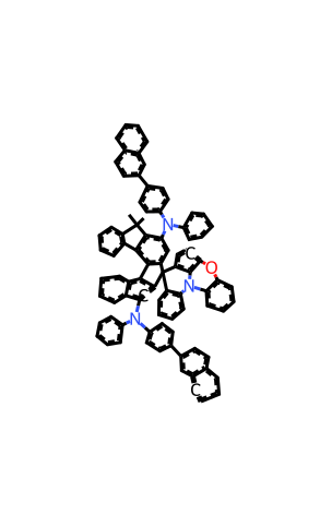 CC1(C)c2ccccc2-c2c3c(cc(N(c4ccccc4)c4ccc(-c5ccc6ccccc6c5)cc4)c21)C1(c2ccccc2N2c4ccccc4Oc4cccc1c42)c1cc(N(c2ccccc2)c2ccc(-c4ccc5ccccc5c4)cc2)c2ccccc2c1-3